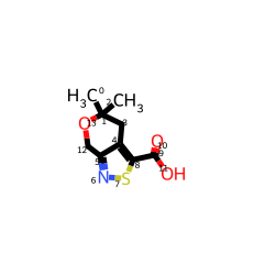 CC1(C)Cc2c(nsc2C(=O)O)CO1